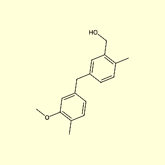 COc1cc(Cc2ccc(C)c(CO)c2)ccc1C